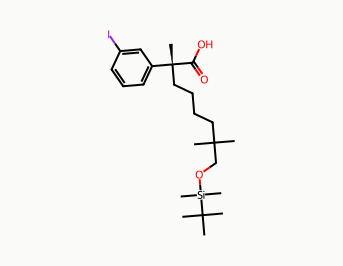 CC(C)(CCCC[C@@](C)(C(=O)O)c1cccc(I)c1)CO[Si](C)(C)C(C)(C)C